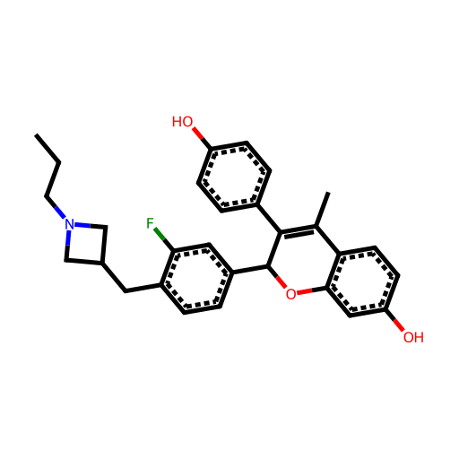 CCCN1CC(Cc2ccc(C3Oc4cc(O)ccc4C(C)=C3c3ccc(O)cc3)cc2F)C1